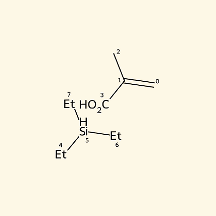 C=C(C)C(=O)O.CC[SiH](CC)CC